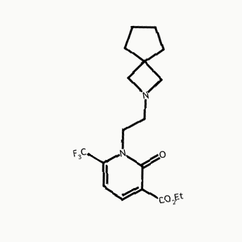 CCOC(=O)c1ccc(C(F)(F)F)n(CCN2CC3(CCCC3)C2)c1=O